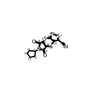 N#Cc1snc2sc3c(=O)n(C4CCCC4)c(=O)c=3sc12